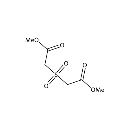 COC(=O)CS(=O)(=O)CC(=O)OC